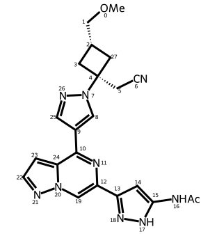 COC[C@H]1C[C@](CC#N)(n2cc(-c3nc(-c4cc(NC(C)=O)[nH]n4)cn4nccc34)cn2)C1